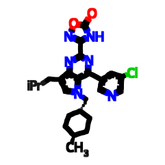 CC(C)Cc1cn(C[C@H]2CC[C@H](C)CC2)c2c(-c3cncc(Cl)c3)nc(-c3noc(=O)[nH]3)nc12